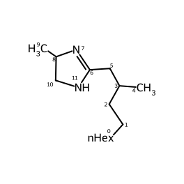 CCCCCCCCC(C)CC1=NC(C)CN1